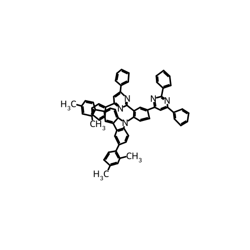 Cc1ccc(-c2ccc3c(c2)c2cc(-c4ccc(C)cc4C)ccc2n3-c2ccc(-c3cc(-c4ccccc4)nc(-c4ccccc4)n3)cc2-c2nc(-c3ccccc3)cc(-c3ccccc3)n2)c(C)c1